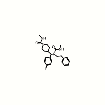 CNC(=O)N1CCC(C(c2ccc(F)cc2)N(CCc2ccccc2)C(=O)NC)CC1